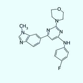 Cn1cnc2ccc(-c3cc(Nc4ccc(F)cc4)nc(N4CCOCC4)n3)cc21